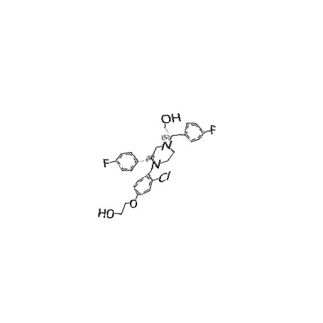 OCCOc1ccc(N2CCN([C@H](CO)c3ccc(F)cc3)C[C@H]2c2ccc(F)cc2)c(Cl)c1